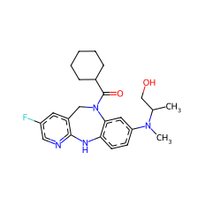 CC(CO)N(C)c1ccc2c(c1)N(C(=O)C1CCCCC1)Cc1cc(F)cnc1N2